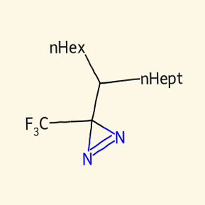 CCCCCCCC(CCCCCC)C1(C(F)(F)F)N=N1